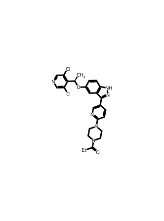 CCC(=O)N1CCN(c2ccc(-c3n[nH]c4ccc(O[C@H](C)c5c(Cl)cncc5Cl)cc34)cn2)CC1